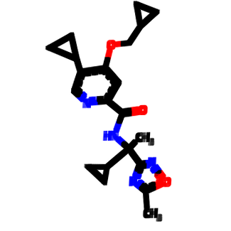 Cc1nc(C(C)(NC(=O)c2cc(OCC3CC3)c(C3CC3)cn2)C2CC2)no1